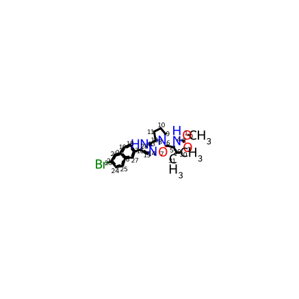 COC(=O)NC(C(=O)N1CCCC1c1ncc(-c2ccc3cc(Br)ccc3c2)[nH]1)C(C)C